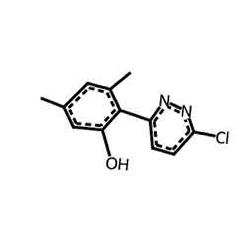 Cc1cc(C)c(-c2ccc(Cl)nn2)c(O)c1